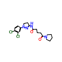 O=C(CCCC(=O)N1CCCCC1)NC1=NN(c2ccc(Cl)c(Cl)c2)CC1